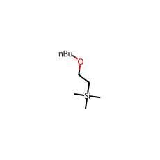 CCCCOCC[Si](C)(C)C